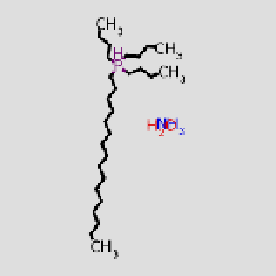 CCCCCCCCCCCCCCCC[PH](CCCC)(CCCC)CCCC.N.O